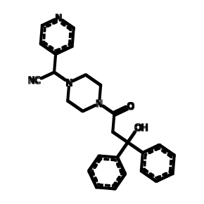 N#CC(c1ccncc1)N1CCN(C(=O)CC(O)(c2ccccc2)c2ccccc2)CC1